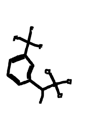 CC(c1cccc(C(F)(F)F)c1)[Si](Cl)(Cl)Cl